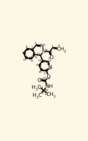 C=CC(=O)N1N=Cc2ccccc2C1c1ccc(OC(=O)NC(C)(C)C)nc1